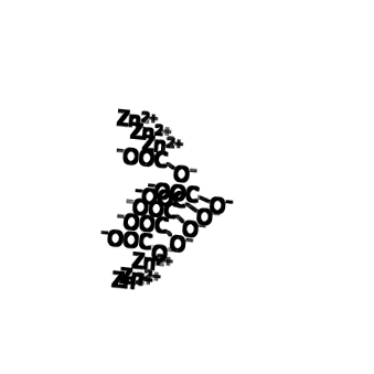 O=C([O-])[O-].O=C([O-])[O-].O=C([O-])[O-].O=C([O-])[O-].O=C([O-])[O-].O=C([O-])[O-].[Zn+2].[Zn+2].[Zn+2].[Zn+2].[Zn+2].[Zn+2]